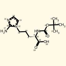 CC(C)(C)OC(=O)N[C@@H](CCCn1ccnc1N)C(=O)O